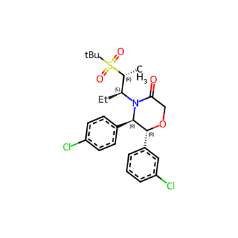 CC[C@@H]([C@@H](C)S(=O)(=O)C(C)(C)C)N1C(=O)CO[C@H](c2cccc(Cl)c2)[C@H]1c1ccc(Cl)cc1